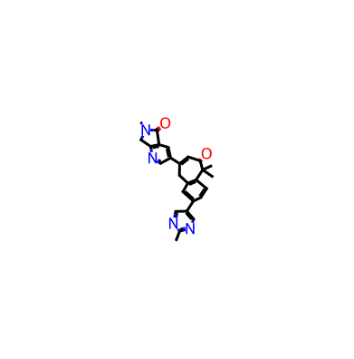 Cc1ncc(-c2ccc3c(c2)CC(c2cnc4c(c2)C(=O)N(C)C4)=CC(=O)C3(C)C)cn1